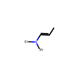 CC=CN(CC)C(C)C